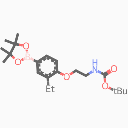 CCc1cc(B2OC(C)(C)C(C)(C)O2)ccc1OCCNC(=O)OC(C)(C)C